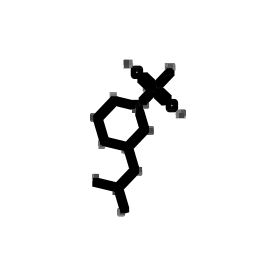 CC(C)CC1CCCN(S(C)(=O)=O)C1